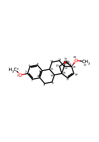 COc1ccc2c(c1)CCC1C2CC[C@@]2(C)C13C=C[C@@]2(OC)CC3